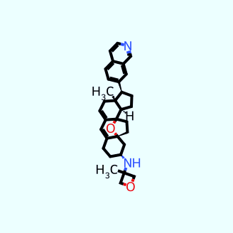 CC1(N[C@H]2CCC3=CC4=CC[C@]5(C)[C@@H](c6ccc7ccncc7c6)CC[C@H]5C45CC[C@]3(C2)O5)COC1